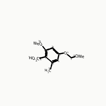 COCOc1cc(C)c(C(=O)O)c(OC)c1